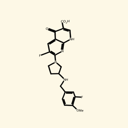 COc1ccc(CNC2CCN(c3nc4[nH]cc(C(=O)O)c(=O)c4cc3F)C2)cc1F